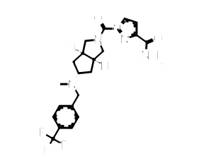 CN(Cc1ccc(C(F)(F)F)cc1)[C@@H]1C[C@@H]2CN(C(=O)n3ccc(C(N)=O)n3)C[C@@H]2C1